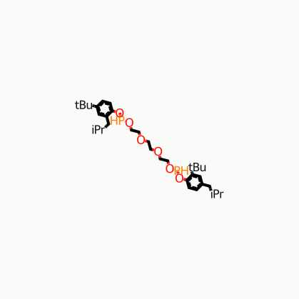 CC(C)Cc1ccc(OPOCCOCCOCCOPOc2ccc(C(C)(C)C)cc2CC(C)C)c(C(C)(C)C)c1